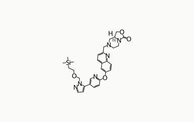 C[Si](C)(C)CCOCn1nccc1-c1ccc(Oc2ccc3nc(CN4CCN5C(=O)OC[C@@H]5C4)ccc3c2)nc1